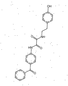 O=C(NCCc1ccc(O)cc1)C(=O)Nc1ccc(C(=O)c2ccccc2)cc1